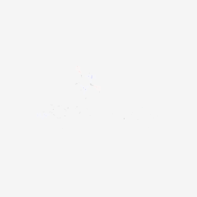 CC(C)(CCCCSCCCC(F)(F)C(F)(F)F)CC(CCN1CC(=O)NC1=O)c1ccc(N)c(C(F)(F)F)c1